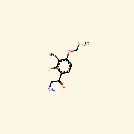 CCCc1c(OCC(=O)OCC)ccc(C(=O)CN)c1O